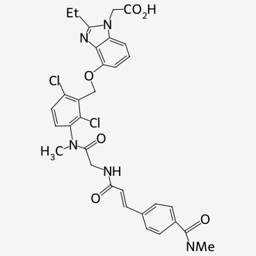 CCc1nc2c(OCc3c(Cl)ccc(N(C)C(=O)CNC(=O)C=Cc4ccc(C(=O)NC)cc4)c3Cl)cccc2n1CC(=O)O